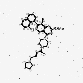 COc1nc(N2CCN(C(=O)/C=C/CN3CCCC3)CC2)c2cnc(-c3cccc4cccc(Cl)c34)c(F)c2n1